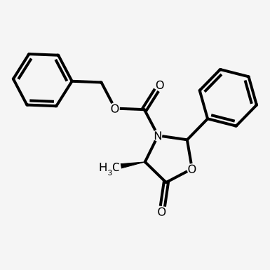 C[C@@H]1C(=O)OC(c2ccccc2)N1C(=O)OCc1ccccc1